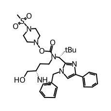 CC(C)(C)[C@H](c1nc(-c2ccccc2)cn1Cc1ccccc1)N(CC[C@H](N)CO)C(=O)ON1CCN(S(C)(=O)=O)CC1